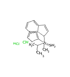 C[CH](C)[Zr]([CH3])(=[SiH2])([C]1=CC=CC1)[CH]1C=Cc2ccccc21.Cl.Cl